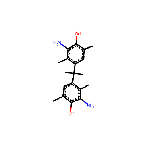 Cc1cc(C(C)(C)c2cc(C)c(O)c(N)c2C)c(C)c(N)c1O